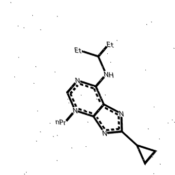 CCCn1cnc(NC(CC)CC)c2nc(C3CC3)nc1-2